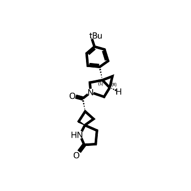 CC(C)(C)c1ccc([C@]23C[C@H]2CN(C(=O)[C@H]2C[C@]4(CCC(=O)N4)C2)C3)cc1